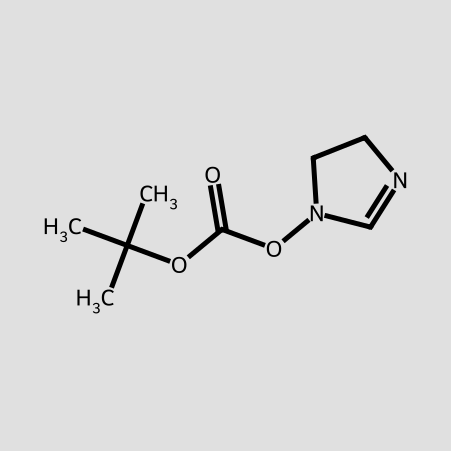 CC(C)(C)OC(=O)ON1C=NCC1